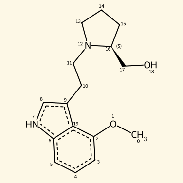 COc1cccc2[nH]cc(CCN3CCC[C@H]3CO)c12